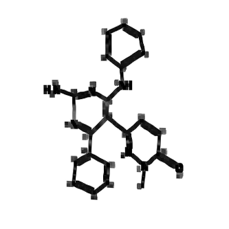 Cn1nc(-c2c(Nc3ccccc3)nc(N)nc2-c2ccccc2)ccc1=O